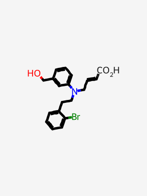 O=C(O)C=CCN(CCc1ccccc1Br)c1cccc(CO)c1